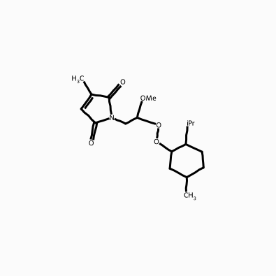 COC(CN1C(=O)C=C(C)C1=O)OOC1CC(C)CCC1C(C)C